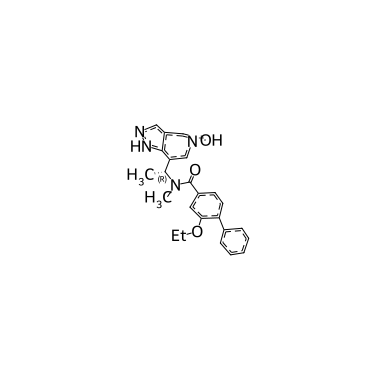 CCOc1cc(C(=O)N(C)[C@H](C)c2c[n+](O)cc3cn[nH]c23)ccc1-c1ccccc1